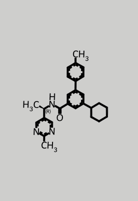 Cc1ccc(-c2cc(C(=O)N[C@H](C)c3cnc(C)nc3)cc(C3CCCCC3)c2)cc1